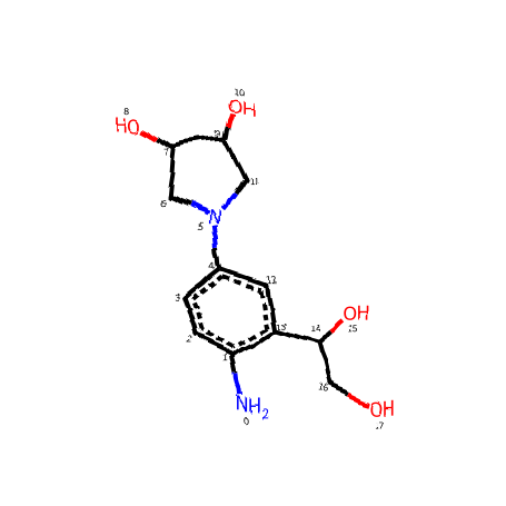 Nc1ccc(N2CC(O)C(O)C2)cc1C(O)CO